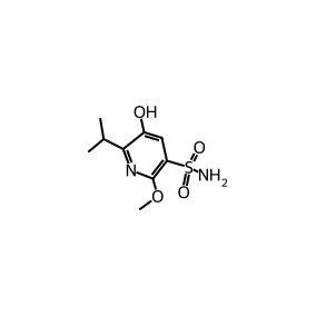 COc1nc(C(C)C)c(O)cc1S(N)(=O)=O